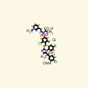 COc1cc(C(C)(C)c2cnc(SCc3c(F)cc(S(=O)(=O)N(CCc4ccc[n+](C)c4)[C@H](C)C(=O)O)cc3Cl)n2-c2ccc(F)cc2)ccc1Cl.[Cl-]